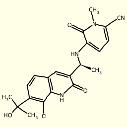 C[C@H](Nc1ccc(C#N)n(C)c1=O)c1cc2ccc(C(C)(C)O)c(Cl)c2[nH]c1=O